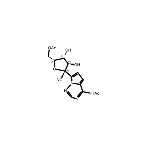 CC(=O)Nc1ncnn2c([C@]3(C#N)O[C@H](COC(C)=O)[C@H](O)[C@H]3O)ccc12